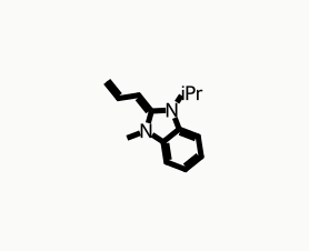 C=C/C=C1\N(C)c2ccccc2N1C(C)C